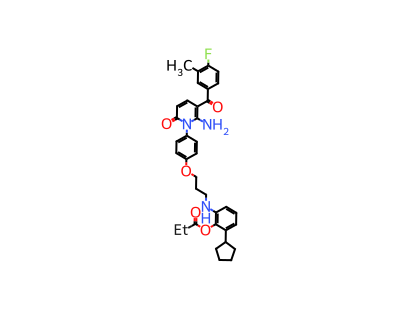 CCC(=O)Oc1c(NCCCOc2ccc(-n3c(N)c(C(=O)c4ccc(F)c(C)c4)ccc3=O)cc2)cccc1C1CCCC1